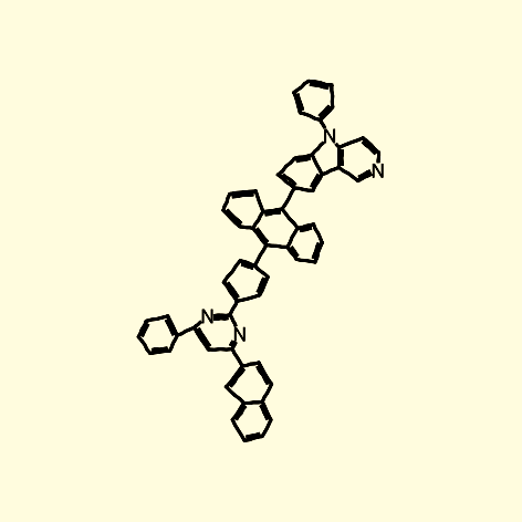 c1ccc(-c2cc(-c3ccc4ccccc4c3)nc(-c3ccc(-c4c5ccccc5c(-c5ccc6c(c5)c5cnccc5n6-c5ccccc5)c5ccccc45)cc3)n2)cc1